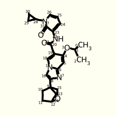 CC(C)Oc1cc2nc(C34CCC(C3)OC4)cn2cc1C(=O)Nc1cccn(C2CC2)c1=O